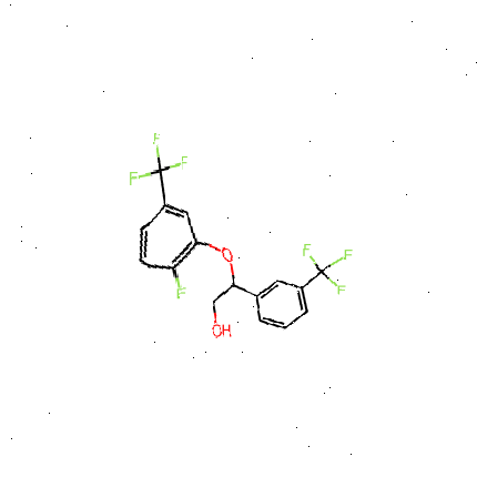 OCC(Oc1cc(C(F)(F)F)ccc1F)c1cccc(C(F)(F)F)c1